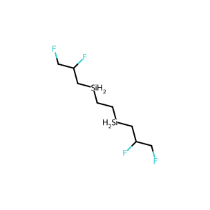 FCC(F)C[SiH2]CC[SiH2]CC(F)CF